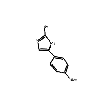 CNc1ccc(-c2cnc(C(C)C)[nH]2)cc1